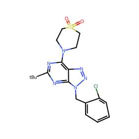 CC(C)(C)c1nc(N2CCS(=O)(=O)CC2)c2nnn(Cc3ccccc3Cl)c2n1